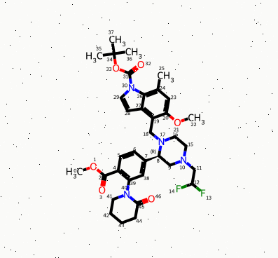 COC(=O)c1ccc([C@@H]2CN(CC(F)F)CCN2Cc2c(OC)cc(C)c3c2ccn3C(=O)OC(C)(C)C)cc1N1CCCCC1=O